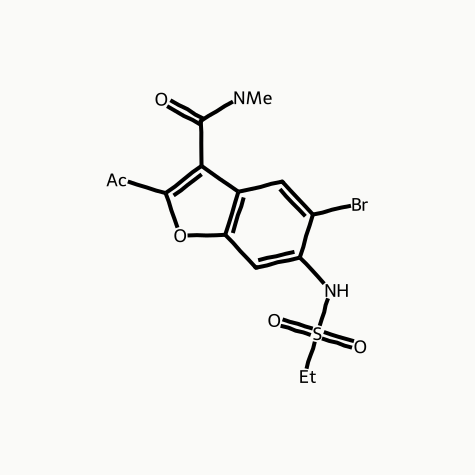 CCS(=O)(=O)Nc1cc2oc(C(C)=O)c(C(=O)NC)c2cc1Br